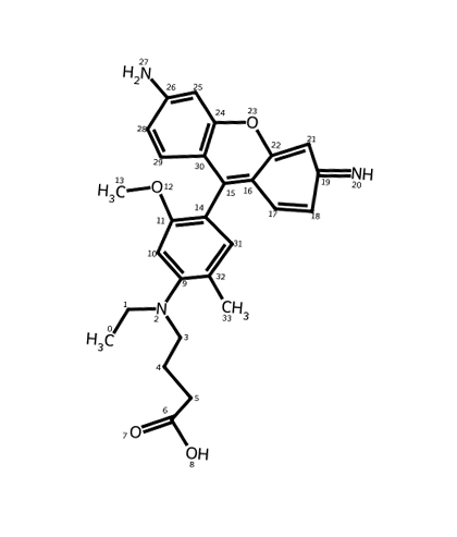 CCN(CCCC(=O)O)c1cc(OC)c(-c2c3ccc(=N)cc-3oc3cc(N)ccc23)cc1C